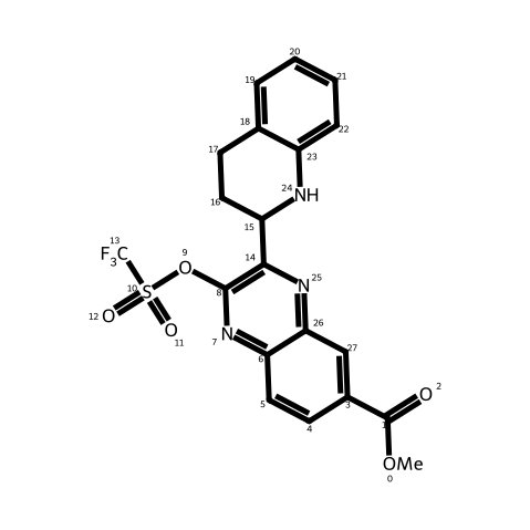 COC(=O)c1ccc2nc(OS(=O)(=O)C(F)(F)F)c(C3CCc4ccccc4N3)nc2c1